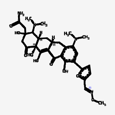 CO/N=C/c1ccc(-c2cc(N(C)C)c3c(c2O)C(=O)C2=C(O)[C@]4(O)C(=O)CC(O)(CC(N)=O)C(N(C)C)[C@@H]4C[C@@H]2C3)o1